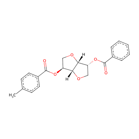 Cc1ccc(C(=O)O[C@H]2CO[C@H]3[C@@H]2OC[C@H]3OC(=O)c2ccccc2)cc1